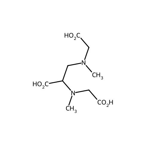 CN(CC(=O)O)CC(C(=O)O)N(C)CC(=O)O